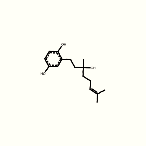 CC(C)=CCCC(C)(O)CCc1cc(O)ccc1O